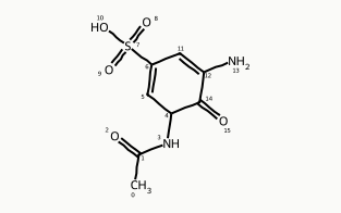 CC(=O)NC1C=C(S(=O)(=O)O)C=C(N)C1=O